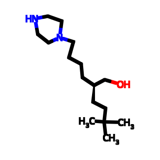 CC(C)(C)CC[C@H](CO)CCCCN1CCNCC1